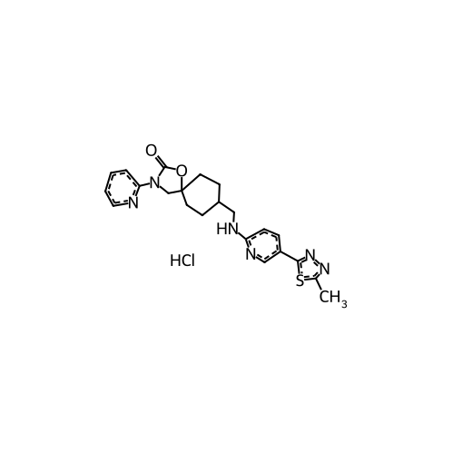 Cc1nnc(-c2ccc(NCC3CCC4(CC3)CN(c3ccccn3)C(=O)O4)nc2)s1.Cl